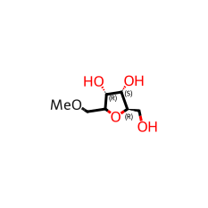 COCC1O[C@H](CO)[C@@H](O)[C@H]1O